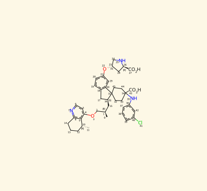 C[C@@H](COc1ccnc2c1[C@H](C)CCC2)C[C@H]1Cc2ccc(O[C@@H]3CN[C@@H](C(=O)O)C3)cc2C12CCC(Nc1cccc(Cl)c1)(C(=O)O)CC2